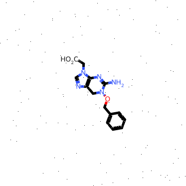 NC1=Nc2c(ncn2CC(=O)O)CN1OCc1ccccc1